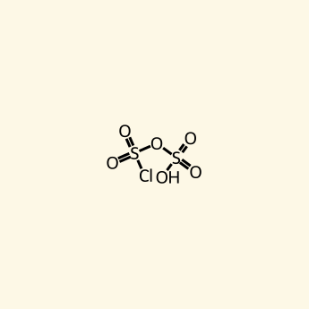 O=S(=O)(O)OS(=O)(=O)Cl